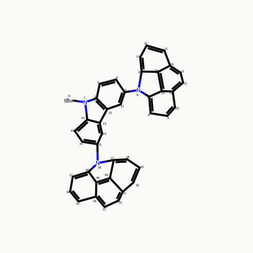 CC(C)(C)n1c2ccc(-n3c4cccc5ccc6cccc3c6c54)cc2c2cc(-n3c4cccc5ccc6cccc3c6c54)ccc21